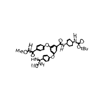 CONC(=O)c1ccc(Oc2cc(Oc3ccc(C(=N)NO)cc3)cc(C(=O)NC3CCC(NC(=O)OC(C)(C)C)CC3)c2)cc1